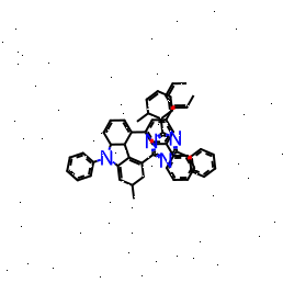 C/C=C\C(=C/C)c1cc(C2=CC=CC3C2C2=C(c4nc(-c5ccccc5)nc(C5C=CC=CC5C)n4)CC(C)C=C2N3c2ccccc2)cc(-c2ccccc2)c1